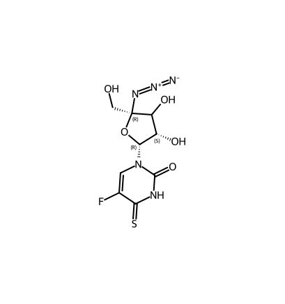 [N-]=[N+]=N[C@]1(CO)O[C@@H](n2cc(F)c(=S)[nH]c2=O)[C@@H](O)C1O